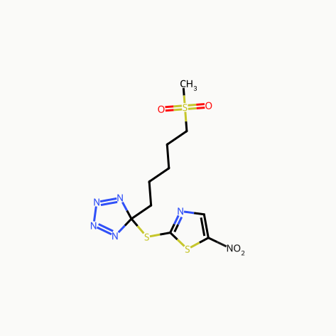 CS(=O)(=O)CCCCCC1(Sc2ncc([N+](=O)[O-])s2)N=NN=N1